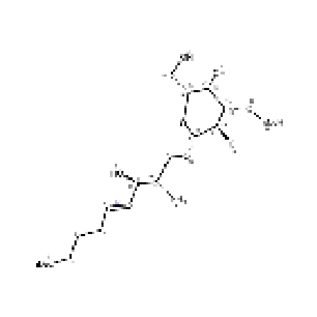 CCCCCCCCCCCCC/C=C/[C@@H](O)[C@@H](N)CO[C@@H]1O[C@H](CO)[C@H](O)[C@H](OS(=O)(=O)O)[C@H]1O